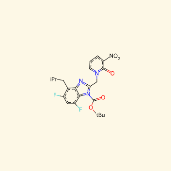 CC(C)Cc1c(F)cc(F)c2c1nc(Cn1cccc([N+](=O)[O-])c1=O)n2C(=O)OC(C)(C)C